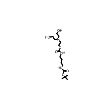 CC(C)(C)OC(=O)NCCCCNC(=O)OCCN(CCO)CCO